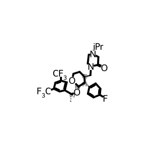 CC(C)N1CCN(C[C@@H]2CCO[C@H](O[C@H](C)c3cc(C(F)(F)F)cc(C(F)(F)F)c3)[C@H]2c2ccc(F)cc2)C(=O)C1